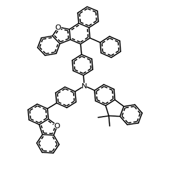 CC1(C)c2ccccc2-c2ccc(N(c3ccc(-c4cccc5c4oc4ccccc45)cc3)c3ccc(-c4c(-c5ccccc5)c5ccccc5c5oc6ccccc6c45)cc3)cc21